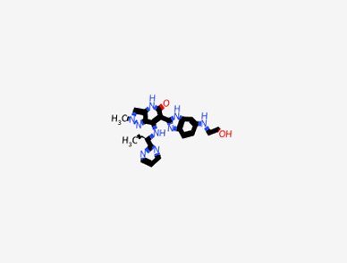 CC[C@H](Nc1c(-c2nc3ccc(NCCO)cc3[nH]2)c(=O)[nH]c2cn(C)nc12)c1ncccn1